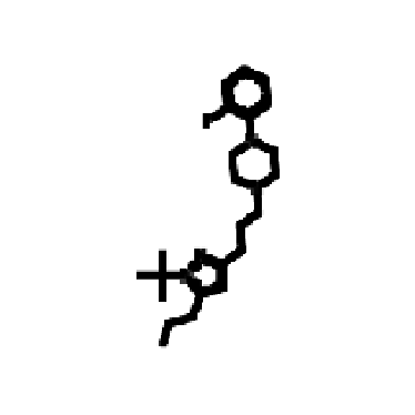 CCCc1cc(CCCN2CCN(c3ccccc3F)CC2)nn1C(C)(C)C